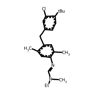 CCN(C)C=Nc1cc(C)c(Cc2ccc(C(C)(C)C)c(Cl)c2)cc1C